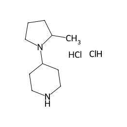 CC1CCCN1C1CCNCC1.Cl.Cl